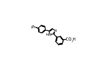 CC(C)c1ccc(-c2cnc(-c3cccc(C(=O)O)c3)[nH]2)cc1